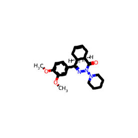 COc1ccc(C2=NN(N3CCCCC3)C(=O)[C@@H]3CC=CC[C@H]23)cc1OC